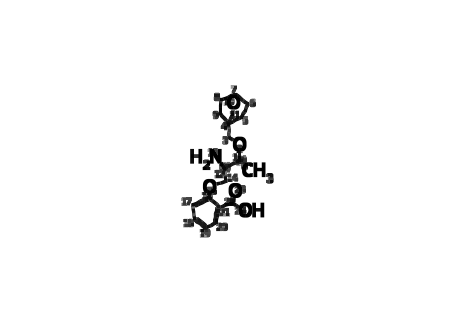 C[C@@H](OCC12CCC(CC1)OC2)[C@H](N)COc1ccccc1C(=O)O